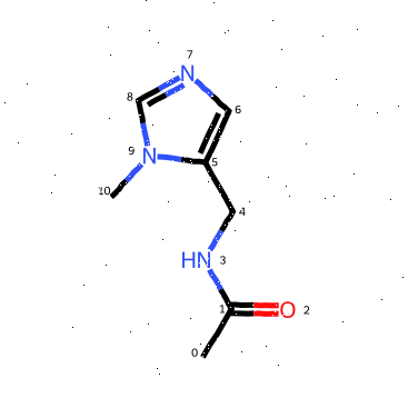 CC(=O)NCc1cncn1C